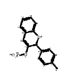 Cc1ccc(C2Oc3ccccc3C=C2OC(=O)O)cc1